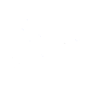 CCn1c(-c2nonc2N)nc2c(C#CC(C)(C)O)ncc(OC[C@H]3CNCC(C)O3)c21